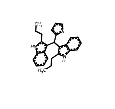 CCCc1[nH]c2ccccc2c1C(c1cccs1)c1c(CCC)[nH]c2ccccc12